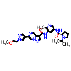 COCCn1cc(-c2cn3ncc(C(=O)Nc4cc(NC(=O)[C@H]5CCCN5C(C)C)cnc4C)c3cn2)cn1